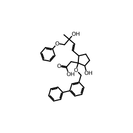 CC(O)(C=CC1CCC(O)C1(CC(=O)O)OCc1cccc(-c2ccccc2)c1)COc1ccccc1